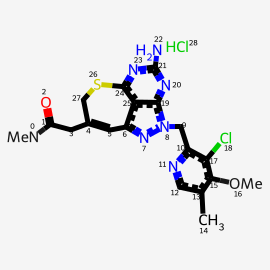 CNC(=O)CC1=Cc2nn(Cc3ncc(C)c(OC)c3Cl)c3nc(N)nc(c23)SC1.Cl